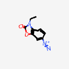 CCn1c(=O)oc2cc([N+]#N)ccc21